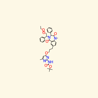 CCOOCC(c1ccccc1)N1C(=O)c2cc(CCCOc3cc(C)nc(NC(=O)OC(C)(C)C)n3)ccc2N(C)C(=O)C1c1ccccc1